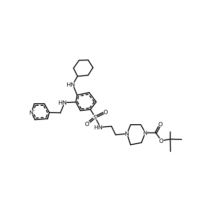 CC(C)(C)OC(=O)N1CCN(CCNS(=O)(=O)c2ccc(NC3CCCCC3)c(NCc3ccncc3)c2)CC1